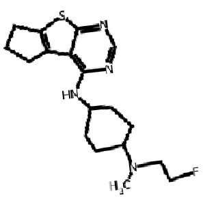 CN(CCF)C1CCC(Nc2ncnc3sc4c(c23)CCC4)CC1